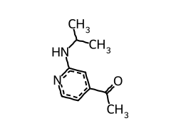 CC(=O)c1ccnc(NC(C)C)c1